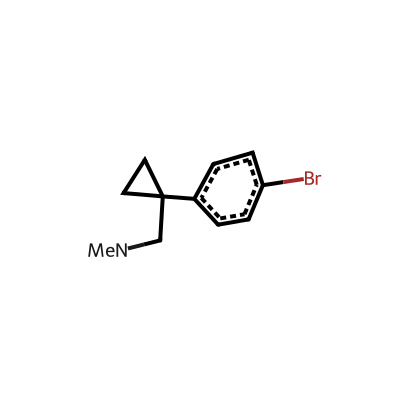 CNCC1(c2ccc(Br)cc2)CC1